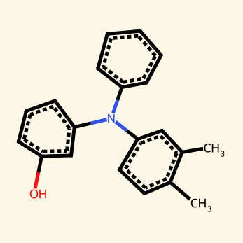 Cc1ccc(N(c2ccccc2)c2cccc(O)c2)cc1C